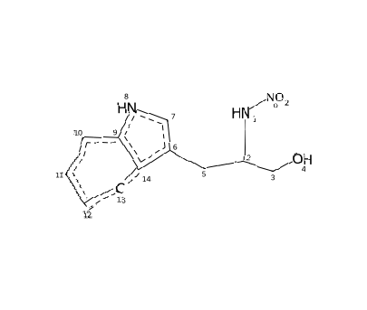 O=[N+]([O-])NC(CO)Cc1c[nH]c2ccccc12